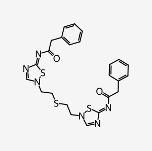 O=C(Cc1ccccc1)N=c1ncn(CCSCCn2cnc(=NC(=O)Cc3ccccc3)s2)s1